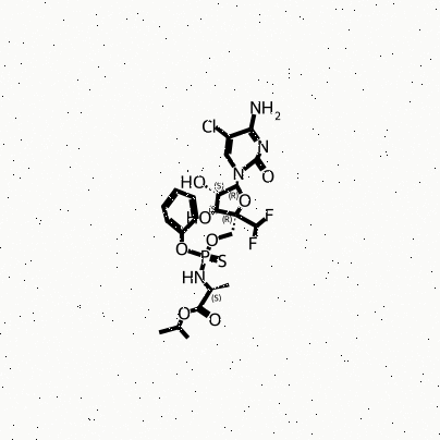 CC(C)OC(=O)[C@H](C)NP(=S)(OC[C@@]1(C(F)F)O[C@@H](n2cc(Cl)c(N)nc2=O)[C@@H](O)[C@@H]1O)Oc1ccccc1